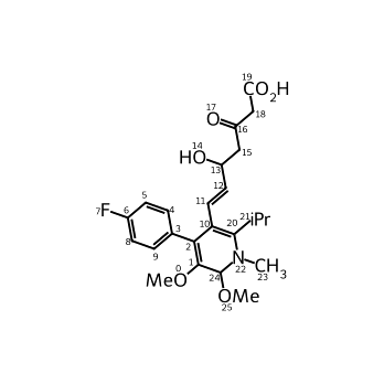 COC1=C(c2ccc(F)cc2)C(C=CC(O)CC(=O)CC(=O)O)=C(C(C)C)N(C)C1OC